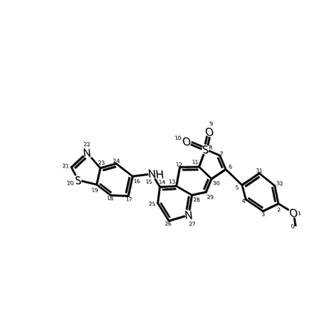 COc1ccc(C2=CS(=O)(=O)c3cc4c(Nc5ccc6scnc6c5)ccnc4cc32)cc1